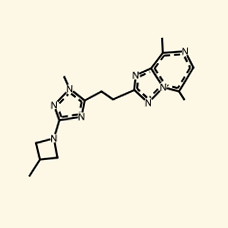 Cc1ncc(C)n2nc(CCc3nc(N4CC(C)C4)nn3C)nc12